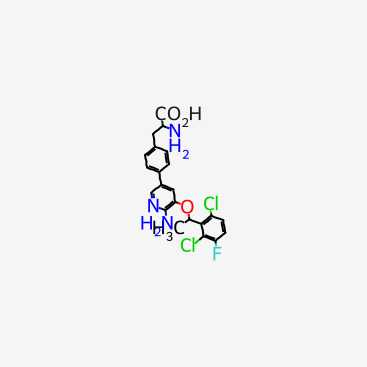 CC(Oc1cc(-c2ccc(CC(N)C(=O)O)cc2)cnc1N)c1c(Cl)ccc(F)c1Cl